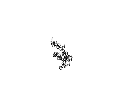 COc1ccc(C(NCCCC[C@H](NC(=O)[C@H](Cc2ccccc2)NC(=O)CCC(=O)NCCOCCOCCNC(=O)O[C@H]2CC[C@@]3(C)C(=CC[C@H]4[C@@H]5CC[C@H]([C@H](C)CCCC(C)C)[C@@]5(C)CC[C@@H]43)C2)C(=O)Nc2ccc(COC(=O)Oc3ccc([N+](=O)[O-])cc3)cc2)(c2ccccc2)c2ccccc2)cc1